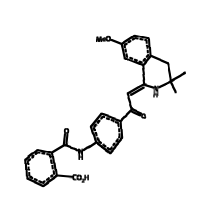 COc1ccc2c(c1)C(=CC(=O)c1ccc(NC(=O)c3ccccc3C(=O)O)cc1)NC(C)(C)C2